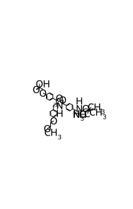 COCCOc1ccc(C[C@H](NC(=O)c2ccc(C(=N)NC(=O)OC(C)(C)C)cc2)C(=O)c2ccc(OCC(=O)O)cc2)cc1